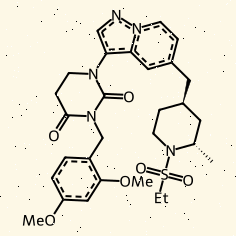 CCS(=O)(=O)N1CC[C@@H](Cc2ccn3ncc(N4CCC(=O)N(Cc5ccc(OC)cc5OC)C4=O)c3c2)C[C@@H]1C